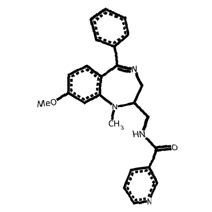 COc1ccc2c(c1)N(C)C(CNC(=O)c1cccnc1)CN=C2c1ccccc1